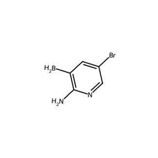 Bc1cc(Br)cnc1N